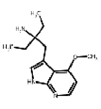 CCC(N)(CC)Cc1c[nH]c2nccc(OC)c12